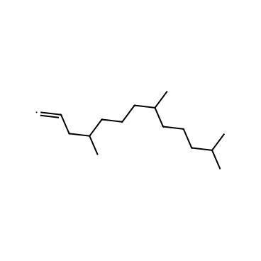 [CH]=CCC(C)CCCC(C)CCCC(C)C